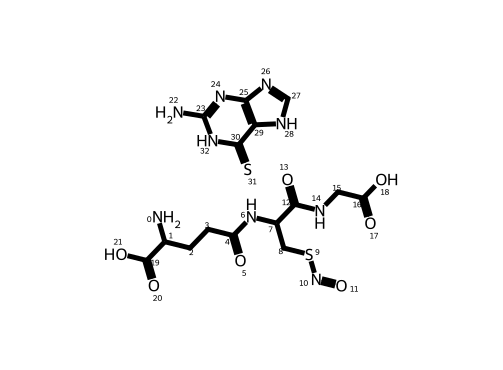 NC(CCC(=O)NC(CSN=O)C(=O)NCC(=O)O)C(=O)O.Nc1nc2nc[nH]c2c(=S)[nH]1